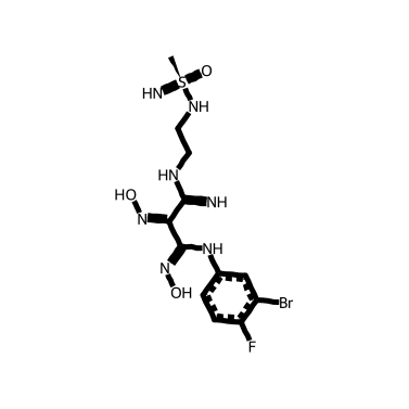 C[S@@](=N)(=O)NCCNC(=N)C(=N\O)/C(=N/O)Nc1ccc(F)c(Br)c1